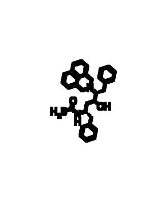 BC(=O)N[C@@H](Cc1ccccc1)C[C@H](O)[C@H](Cc1ccccc1)N(Cc1ccccc1)Cc1ccccc1